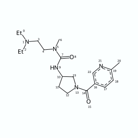 CCN(CC)CCN(C)C(=O)NC1CCN(C(=O)c2ccc(C)nc2)C1